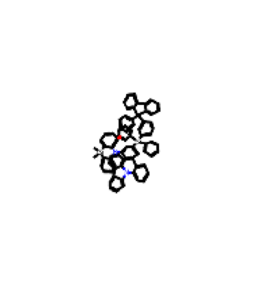 C[Si]1(C)c2ccccc2N(c2cc(-c3ccccc3-n3c4ccccc4c4ccccc43)cc([Si](c3ccccc3)(c3ccccc3)c3cccc(C4(c5ccccc5)c5ccccc5-c5ccccc54)c3)c2)c2ccccc21